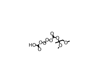 COCC(C)(OC)OC(=O)OOOOC(=O)O